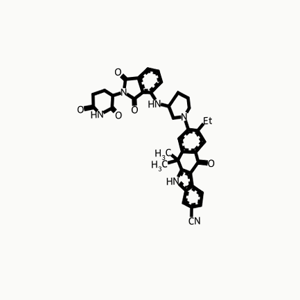 CCc1cc2c(cc1N1CCCC(Nc3cccc4c3C(=O)N(C3CCC(=O)NC3=O)C4=O)C1)C(C)(C)c1[nH]c3cc(C#N)ccc3c1C2=O